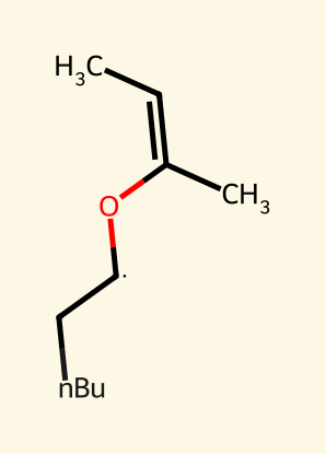 C/C=C(/C)O[CH]CCCCC